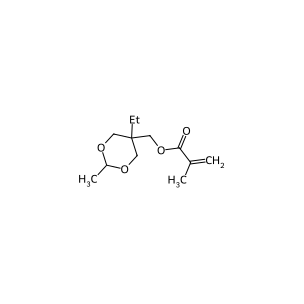 C=C(C)C(=O)OCC1(CC)COC(C)OC1